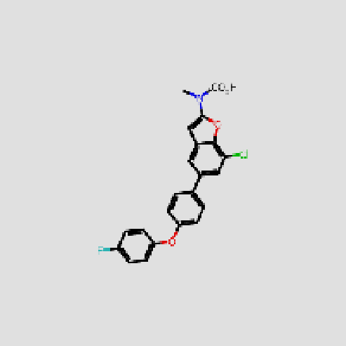 CN(C(=O)O)c1cc2cc(-c3ccc(Oc4ccc(F)cc4)cc3)cc(Cl)c2o1